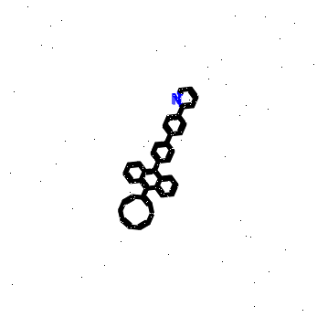 C1=C\C/C=C\C(c2c3ccccc3c(-c3ccc(-c4ccc(-c5ccccn5)cc4)cc3)c3ccccc23)=C/C\C=C/1